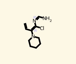 C=C/C(=C(Cl)\N=C/N)N1CCCCC1